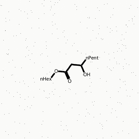 CCCCCCOC(=O)CC(O)CCCCC